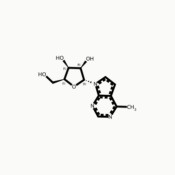 Cc1ncnc2c1ccn2[C@@H]1O[C@@H](CO)[C@@H](O)[C@H]1O